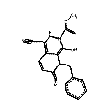 COC(=O)N1NC(C#N)=C2C=CC(=O)C(Cc3ccccc3)C2=C1O